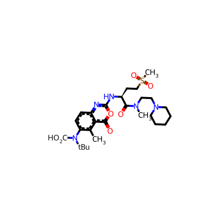 Cc1c(N(C(=O)O)C(C)(C)C)ccc2nc(N[C@@H](CCS(C)(=O)=O)C(=O)N(C)CCN3CCCCC3)oc(=O)c12